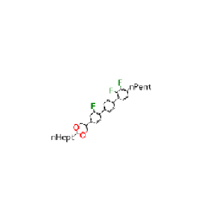 CCCCCCCC1OCC(c2ccc(-c3ccc(-c4ccc(CCCCC)c(F)c4F)cc3)c(F)c2)CO1